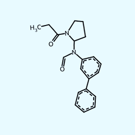 CCC(=O)N1CCCC1N(C=O)c1cccc(-c2ccccc2)c1